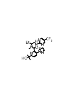 CCC(CNc1ncc(C(F)(F)F)cn1)N(C)C(=O)c1nc(C(C)(C)O)ccc1-n1nccn1